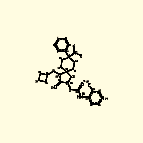 CN(C)[C@]1(c2ccccc2)CC[C@@]2(CC1)CN(CC(=O)Nc1ccncc1F)C(=O)N2CC1CCC1